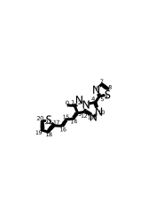 Cc1nn2c(-c3nccs3)nnc2c1=CC=Cc1cccs1